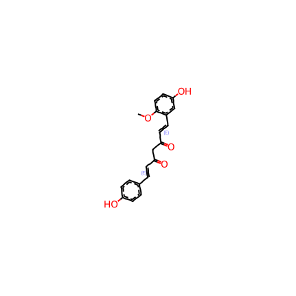 COc1ccc(O)cc1/C=C/C(=O)CC(=O)/C=C/c1ccc(O)cc1